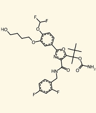 CC(C)(C)C(C)(OC(N)=O)c1oc(-c2ccc(OC(F)F)c(OCCCCO)c2)nc1C(=O)NCc1ccc(F)cc1F